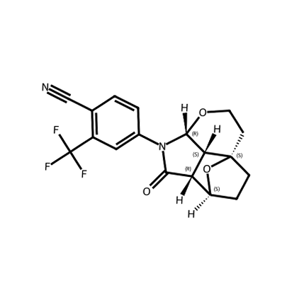 N#Cc1ccc(N2C(=O)[C@@H]3[C@@H]4[C@H]2OCC[C@@]42CC[C@@H]3O2)cc1C(F)(F)F